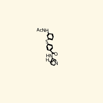 CC(=O)Nc1cccc(Sc2ccc(C(=O)NC3CN4CC[C@H]3C4)cc2)c1